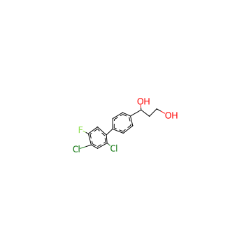 OCCC(O)c1ccc(-c2cc(F)c(Cl)cc2Cl)cc1